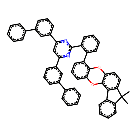 CC1(C)c2ccccc2-c2c1ccc1c2Oc2cccc(-c3ccccc3-c3nc(-c4cccc(-c5ccccc5)c4)cc(-c4cccc(-c5ccccc5)c4)n3)c2O1